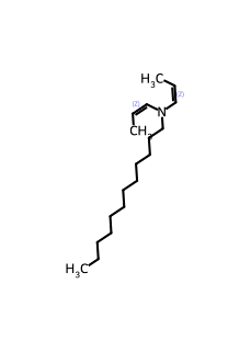 C/C=C\N(/C=C\C)CCCCCCCCCCCC